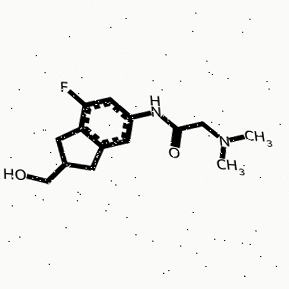 CN(C)CC(=O)Nc1cc(F)c2c(c1)CC(CO)C2